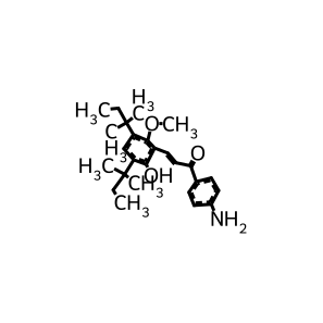 CCC(C)(C)c1cc(C(C)(C)CC)c(OC)c(/C=C/C(=O)c2ccc(N)cc2)c1O